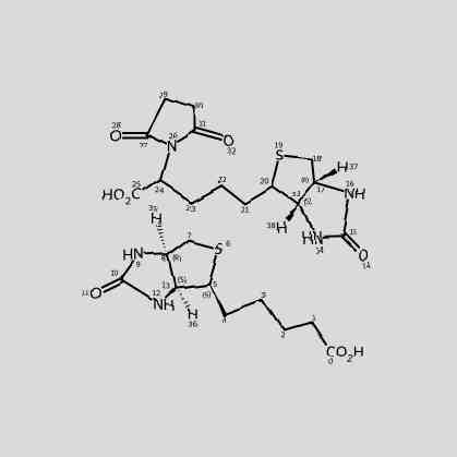 O=C(O)CCCC[C@@H]1SC[C@@H]2NC(=O)N[C@@H]21.O=C1N[C@H]2CSC(CCCC(C(=O)O)N3C(=O)CCC3=O)[C@H]2N1